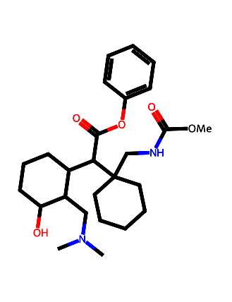 COC(=O)NCC1(C(C(=O)Oc2ccccc2)C2CCCC(O)C2CN(C)C)CCCCC1